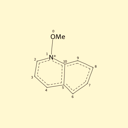 CO[n+]1cccc2ccccc21